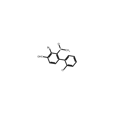 C[S+]([O-])c1c(-c2ccccc2Cl)ccc(C=O)c1Br